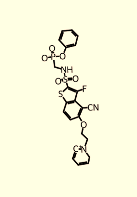 N#Cc1c(OCCN2[C+]=CC=CC2)ccc2sc(S(=O)(=O)NCP(=O)([O-])Oc3ccccc3)c(F)c12